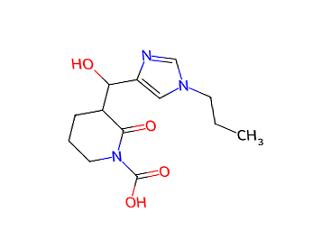 CCCn1cnc(C(O)C2CCCN(C(=O)O)C2=O)c1